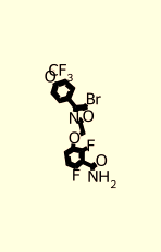 NC(=O)c1c(F)ccc(OCc2nc(-c3ccc(OC(F)(F)F)cc3)c(Br)o2)c1F